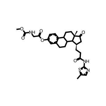 COC(=O)NCC(=O)Oc1ccc2c(c1)CCC1C2CC[C@]2(C)C(=O)C[C@@H](CCC(=O)Nc3ncc(C)s3)C12